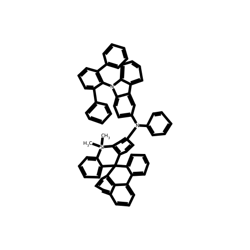 C[Si]1(C)c2ccccc2C2(c3ccccc3-c3cccc4cccc2c34)c2ccc(N(c3ccccc3)c3ccc4c(c3)c3ccccc3n4-c3c(-c4ccccc4)cccc3-c3ccccc3)cc21